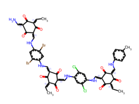 C/C=C1\C(=O)/C(=C/Nc2cc(Br)c(N/C=C3/C(=O)/C(=C\Nc4cc(Cl)c(N/C=C5/C(=O)/C(=C\Nc6ccc(C)cc6)C(=O)/C(=C\C)C5=O)cc4Cl)C(=O)/C(=C\C)C3=O)cc2Br)C(=O)/C(=C/N)C1=O